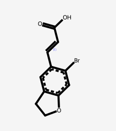 O=C(O)/C=C/c1cc2c(cc1Br)OCC2